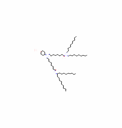 CCCCCCCCCCN(CCCCCCCCCC)C(=O)CCCCCCCN(CCCCCCCC(=O)NC(CCCCCCCCC)CCCCCCCCC)C1CCC(O)CC1